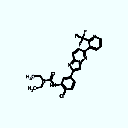 CCN(CC)C(=O)Nc1cc(-c2cn3nc(-c4cccnc4C(F)(F)F)ccc3n2)ccc1Cl